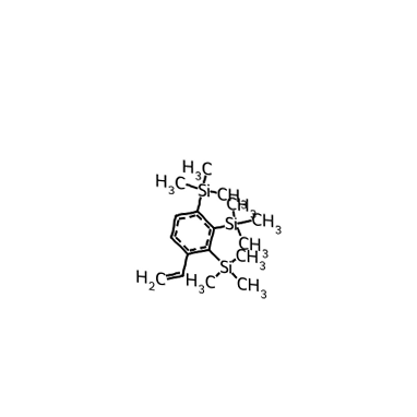 C=Cc1ccc([Si](C)(C)C)c([Si](C)(C)C)c1[Si](C)(C)C